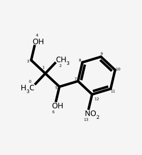 CC(C)(CO)C(O)c1ccccc1[N+](=O)[O-]